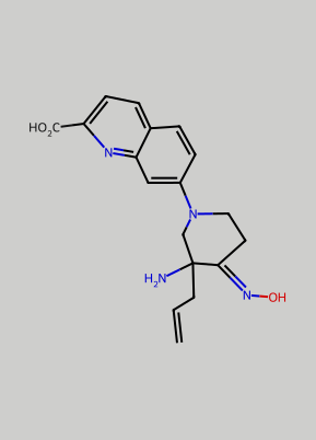 C=CCC1(N)CN(c2ccc3ccc(C(=O)O)nc3c2)CCC1=NO